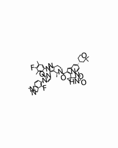 Cc1cc(-n2nc3c(c2-n2ccn(-c4ccc5c(cnn5C)c4F)c2=O)[C@H](C)N(C(=O)c2cc4cc([C@@H]5CCOC(C)(C)C5)ccn4c2C2(c4noc(=O)[nH]4)CC2)CC3)cc(C)c1F